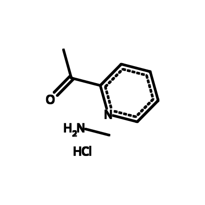 CC(=O)c1ccccn1.CN.Cl